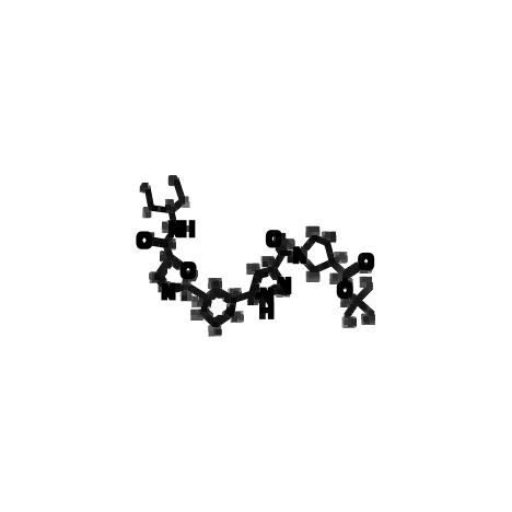 CCC(CC)NC(=O)c1cnc(-c2cccc(-c3cc(C(=O)N4CCC(C(=O)OC(C)(C)C)C4)n[nH]3)c2)o1